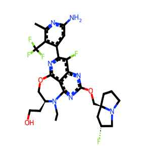 CCN1c2nc(OC[C@@]34CCCN3C[C@H](F)C4)nc3c(F)c(-c4cc(N)nc(C)c4C(F)(F)F)nc(c23)OC[C@@H]1CCO